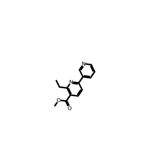 CCc1nc(-c2cccnc2)ccc1C(=O)OC